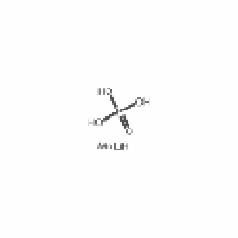 O=P(O)(O)O.[LiH].[Mo]